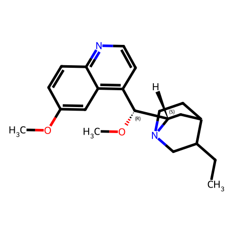 CCC1CN2CCC1C[C@H]2[C@H](OC)c1ccnc2ccc(OC)cc12